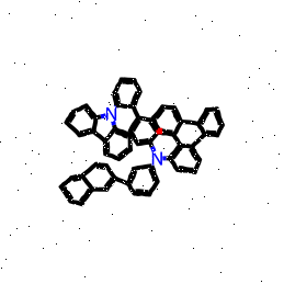 c1cc(-c2ccc3ccccc3c2)cc(N(c2ccc(-c3ccccc3-n3c4ccccc4c4ccccc43)cc2)c2cccc3c4ccccc4c4ccccc4c23)c1